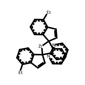 CCc1cccc2c1C=C[C]2([Zr][C]1(c2ccccn2)C=Cc2c(CC)cccc21)c1ccccn1